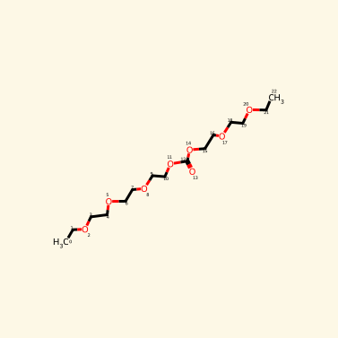 CCOCCOCCOCCOC(=O)OCCOCCOCC